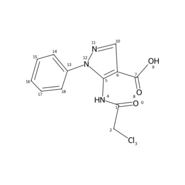 O=C(CCl)Nc1c(C(=O)O)cnn1-c1ccccc1